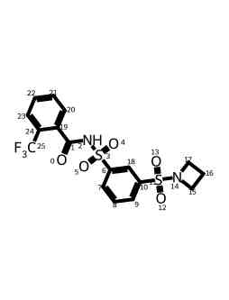 O=C(NS(=O)(=O)c1cccc(S(=O)(=O)N2CCC2)c1)c1ccccc1C(F)(F)F